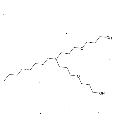 CCCCCCCCN(CCCOCCCO)CCCOCCCO